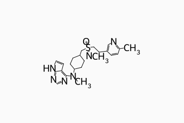 CN=S(=O)(CCc1ccc(C)nc1)CC1CCC(N(C)c2ncnc3[nH]ccc23)CC1